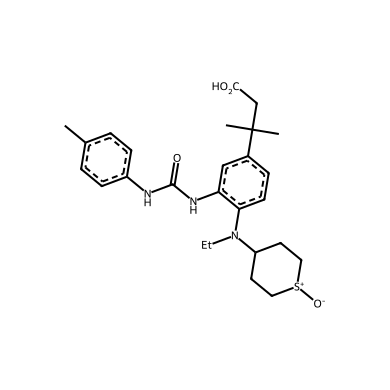 CCN(c1ccc(C(C)(C)CC(=O)O)cc1NC(=O)Nc1ccc(C)cc1)C1CC[S+]([O-])CC1